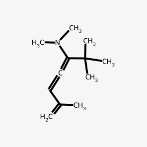 C=C(C)C=C=C(N(C)C)C(C)(C)C